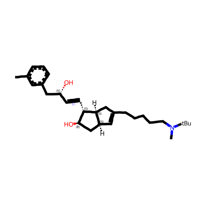 Cc1cccc(C[C@H](O)/C=C/[C@@H]2[C@H]3CC(CCCCCN(C)C(C)(C)C)=C[C@H]3C[C@H]2O)c1